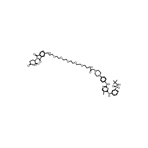 Cc1cnc(Nc2ccc(N3CCN(CC(=O)NCCOCCOCCOCCOCCOCCNc4ccc5c(c4)C(=O)N(C4CCC(=O)NC4=O)C5=O)CC3)cc2)nc1Nc1cccc(S(=O)(=O)NC(C)(C)C)c1